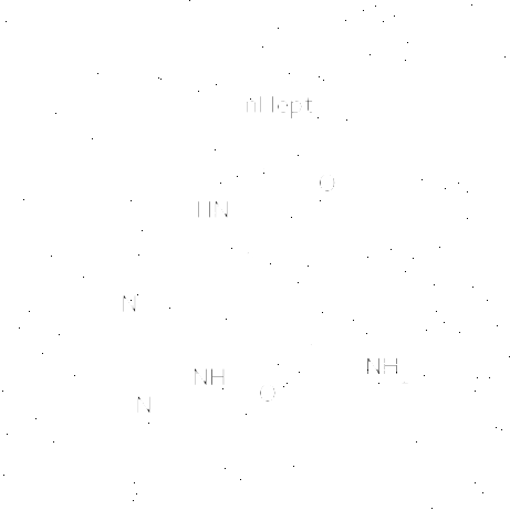 CCCCCCCC(=O)N[C@H](CC(N)=O)c1ncn[nH]1